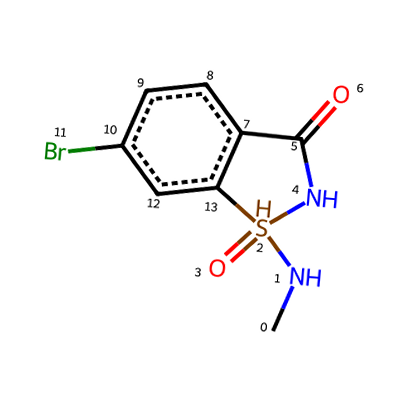 CN[SH]1(=O)NC(=O)c2ccc(Br)cc21